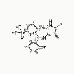 C#CC(C)NC1=Nc2ccc(C(F)(F)F)cc2C(c2ccccc2F)=NC1